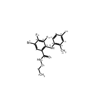 CCONC(=O)c1cc(Br)c(F)c(F)c1Nc1ccc(I)cc1C